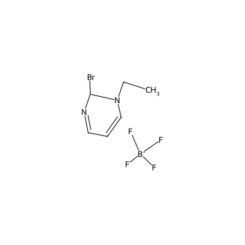 CCN1C=CC=NC1Br.F[B-](F)(F)F